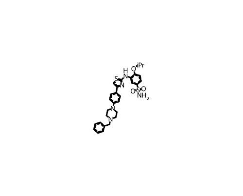 CC(C)Oc1ccc(S(N)(=O)=O)cc1Nc1nc(-c2ccc(N3CCN(Cc4ccccc4)CC3)cc2)cs1